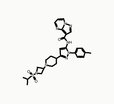 Cc1ccc(-n2nc(C3CCN(C4CN(S(=O)(=O)C(C)C)C4)CC3)cc2NC(=O)c2cnn3cccnc23)cc1